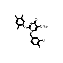 COc1cn(Cc2ccc(F)c(Cl)c2)c(Oc2cc(C)c(C)cc2C)nc1=O